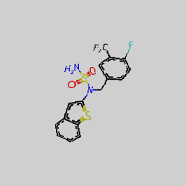 NS(=O)(=O)N(Cc1ccc(F)c(C(F)(F)F)c1)c1cc2ccccc2s1